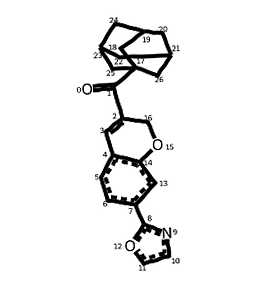 O=C(C1=Cc2ccc(-c3ncco3)cc2OC1)C12CC3CC(CC(C3)C1)C2